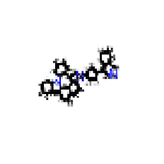 c1ccc(-n2c3ccccc3c3ccc4ccc5c(ccn5-c5ccc(-c6cncc7ccccc67)cc5)c4c32)cc1